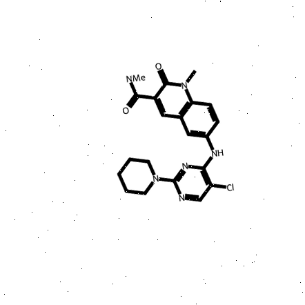 CNC(=O)c1cc2cc(Nc3nc(N4CCCCC4)ncc3Cl)ccc2n(C)c1=O